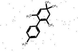 CC1=CC(C)(C)CC(C)=C1c1ccc(N)cc1